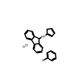 C1=CC[C]([Hf+2][CH]2c3ccccc3-c3ccccc32)=C1.[Cl-].[Cl-].[N]c1ccccc1